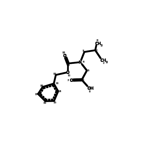 CC(C)CN(CC(=O)O)C(=O)OCc1ccccc1